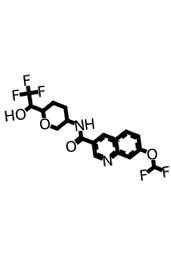 O=C(NC1CCC(C(O)C(F)(F)F)OC1)c1cnc2cc(OC(F)F)ccc2c1